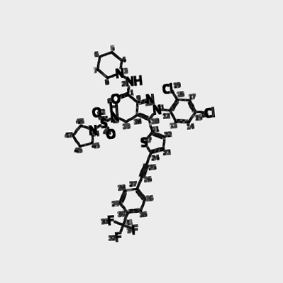 O=C(NN1CCCCC1)c1nn(-c2ccc(Cl)cc2Cl)c(-c2ccc(C#Cc3ccc(C(F)(F)F)cc3)s2)c1CNS(=O)(=O)N1CCCC1